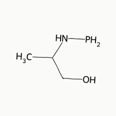 CC(CO)NP